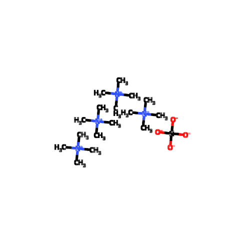 C[N+](C)(C)C.C[N+](C)(C)C.C[N+](C)(C)C.C[N+](C)(C)C.[O-][Si]([O-])([O-])[O-]